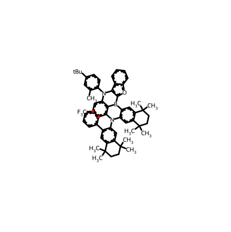 Cc1cc(C(C)(C)C)ccc1N1c2cc(C(F)(F)F)cc3c2B(c2cc4c(cc2N3c2cc3c(cc2-c2ccccc2)C(C)(C)CCC3(C)C)C(C)(C)CCC4(C)C)c2oc3ccccc3c21